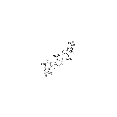 CCNC(C)(CC1CN(C(=O)c2cc(Cc3c[nH]c(=O)c4cc(Cl)c(Cl)n34)ccc2F)C1)OC(=O)C(F)(F)F